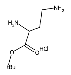 CC(C)(C)OC(=O)C(N)CCN.Cl